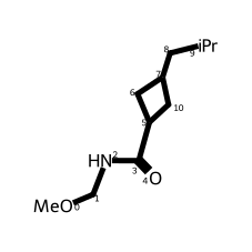 COCNC(=O)C1CC(CC(C)C)C1